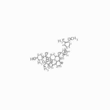 COc1ccc(C23CCC(CN(C(=O)C4CCC(OC(=O)N5CCC(O)CC5)CC4)c4cc(-c5coc(C(C)(C)C)n5)ccn4)(CC2)CC3)cc1C